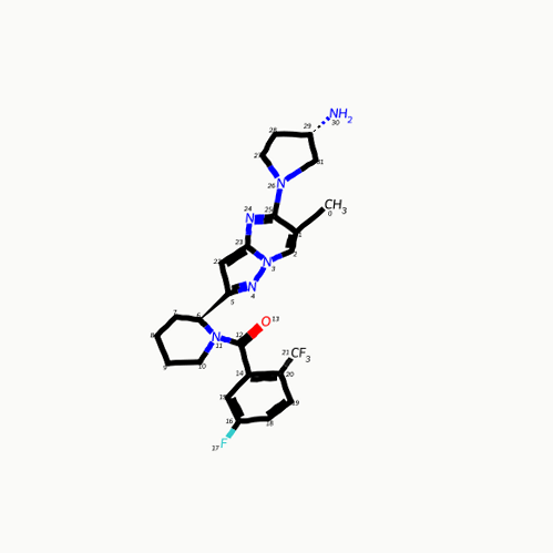 Cc1cn2nc([C@@H]3CCCCN3C(=O)c3cc(F)ccc3C(F)(F)F)cc2nc1N1CC[C@H](N)C1